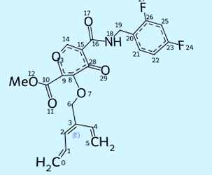 C=C/C=C(\C=C)COc1c(C(=O)OC)occ(C(=O)NCc2ccc(F)cc2F)c1=O